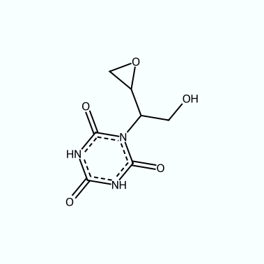 O=c1[nH]c(=O)n(C(CO)C2CO2)c(=O)[nH]1